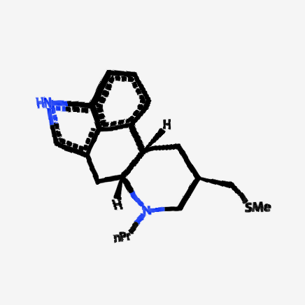 CCCN1C[C@H](CSC)C[C@H]2c3cccc4[nH]cc(c34)C[C@H]21